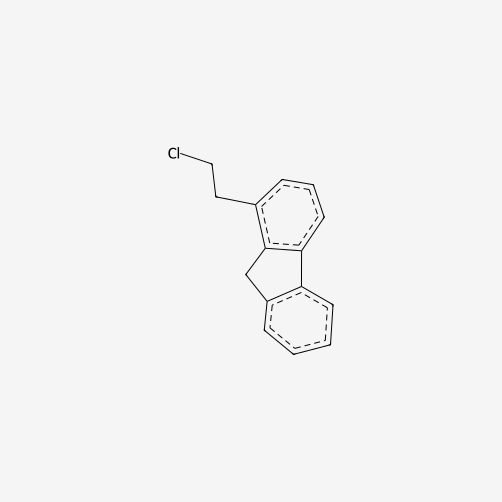 ClCCc1cccc2c1Cc1ccccc1-2